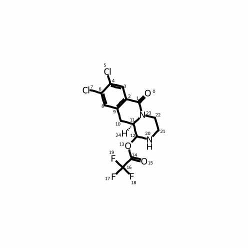 O=C1c2cc(Cl)c(Cl)cc2C[C@@H]2C(OC(=O)C(F)(F)F)NCCN12